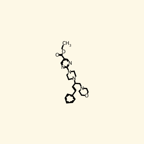 CCOC(=O)c1cnc(N2CCN(C(/C=C/c3ccccc3)CN3CCOCC3)CC2)nc1